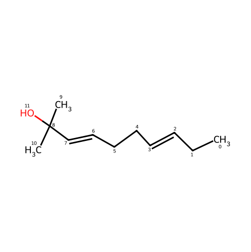 CCC=CCCC=CC(C)(C)O